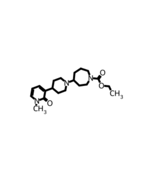 CCOC(=O)N1CCCC(N2CCC(c3cccn(C)c3=O)CC2)CC1